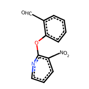 O=Cc1ccccc1Oc1ncccc1[N+](=O)[O-]